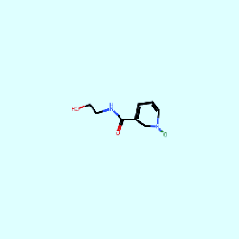 O=C(NCCO)C1=CC=CN(Cl)C1